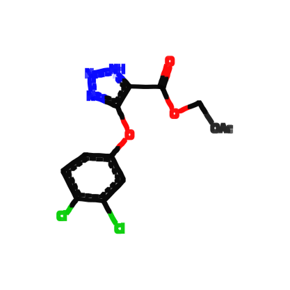 CC(=O)OCOC(=O)c1[nH]nnc1Oc1ccc(Cl)c(Cl)c1